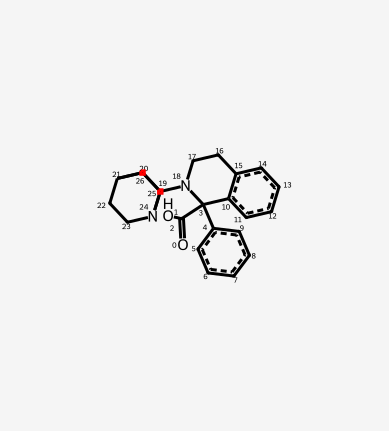 O=C(O)C1(c2ccccc2)c2ccccc2CCN1C1CC2CCN1CC2